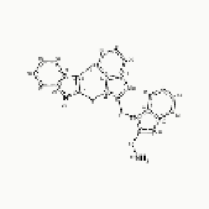 Cn1c(Cn2c(Cn3c(CN)nc4ccccc43)nc3ccccc32)nc2ccccc21